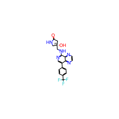 O=C1C[C@@](O)(CNc2ncc(-c3ccc(C(F)(F)F)cc3)c3nccnc23)CN1